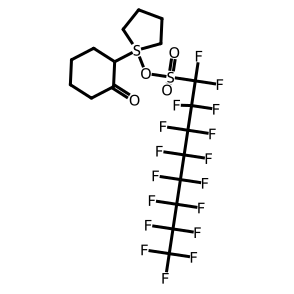 O=C1CCCCC1S1(OS(=O)(=O)C(F)(F)C(F)(F)C(F)(F)C(F)(F)C(F)(F)C(F)(F)C(F)(F)C(F)(F)F)CCCC1